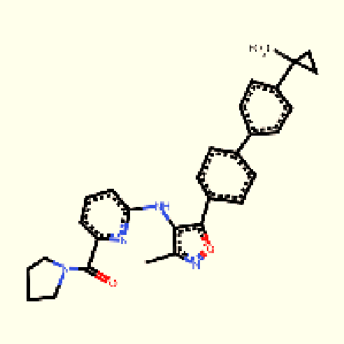 CCOC(=O)C1(c2ccc(-c3ccc(-c4onc(C)c4Nc4cccc(C(=O)N5CCCC5)n4)cc3)cc2)CC1